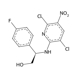 O=[N+]([O-])c1cc(Cl)c(N[C@@H](CO)c2ccc(F)cc2)nc1Cl